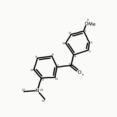 COc1ccc(C(=O)c2cccc(N(C)C)c2)cc1